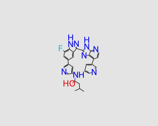 CC(C)CC(O)Nc1cncc(-c2cc(F)c3[nH]nc(-c4nc5c(-c6cccnc6)ccnc5[nH]4)c3c2)c1